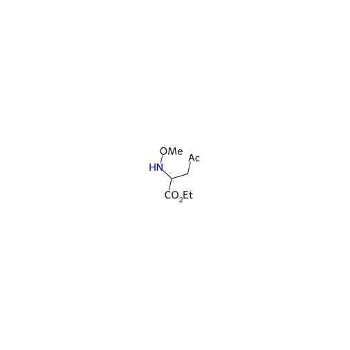 CCOC(=O)C(CC(C)=O)NOC